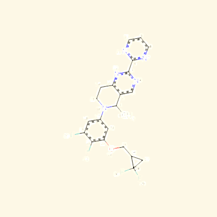 CC1c2cnc(-c3ncccn3)nc2CCN1c1cc(F)c(F)c(OCC2CC2(F)F)c1